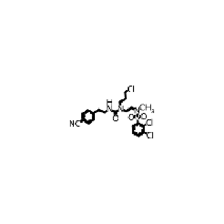 CN(CCN(CCCCl)C(=O)NCCc1ccc(C#N)cc1)S(=O)(=O)c1cccc(Cl)c1Cl